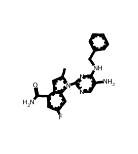 Cc1cc2c(C(N)=O)cc(F)cc2n1-c1ncc(N)c(NCc2ccccc2)n1